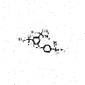 CC(C)(C)c1ccc(Nc2cc(C(C)(C)C)cc(C(C)(C)C)c2)cc1